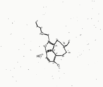 CCCOCc1oc2ccc(Cl)c3c2c1CN(C)CC3.Cl